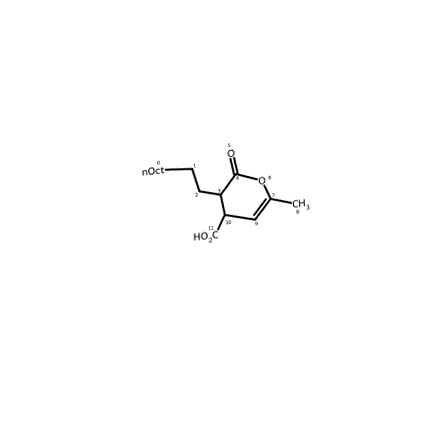 CCCCCCCCCCC1C(=O)OC(C)=CC1C(=O)O